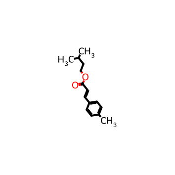 Cc1ccc(/C=C/C(=O)OCCC(C)C)cc1